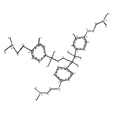 Cc1cc(C(C)(C)CCC(C)(c2ccc(OCCN(C)C)cc2)C(C)(C)c2ccc(OCCN(C)C)c(C)c2)ccc1CCN(C)C